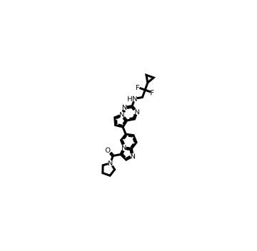 O=C(c1cnc2ccc(-c3ccn4nc(NCC(F)(F)C5CC5)ncc34)cn12)N1CCCC1